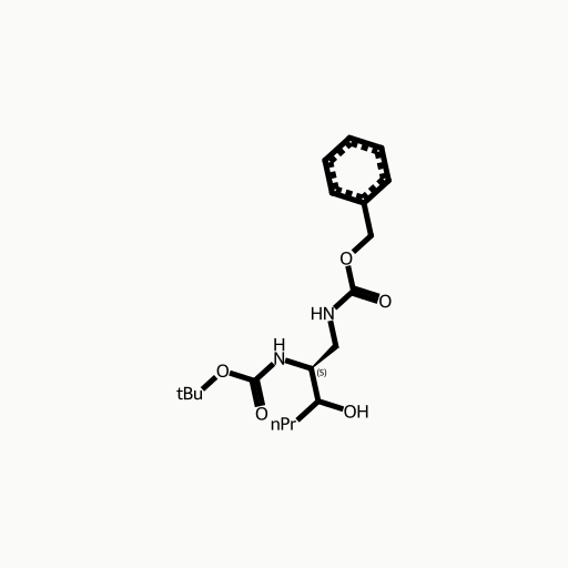 CCCC(O)[C@H](CNC(=O)OCc1ccccc1)NC(=O)OC(C)(C)C